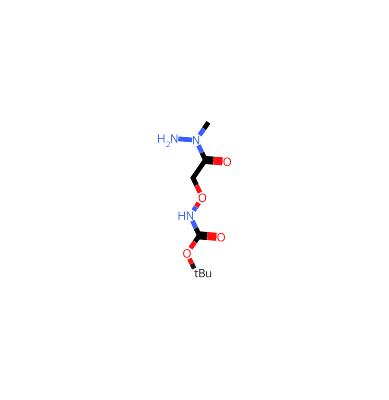 CN(N)C(=O)CONC(=O)OC(C)(C)C